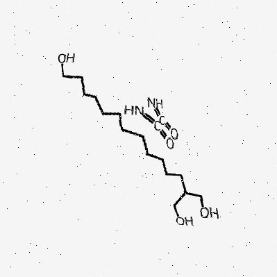 N=C=O.N=C=O.OCCCCCCCCCCCCC(CO)CO